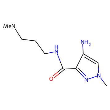 CNCCCNC(=O)c1nn(C)cc1N